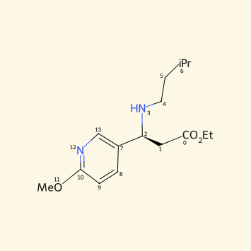 CCOC(=O)C[C@H](NCCC(C)C)c1ccc(OC)nc1